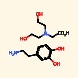 NCCc1ccc(O)c(O)c1.O=C(O)CN(CCO)CCO